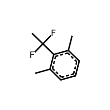 Cc1cccc(C)c1C(C)(F)F